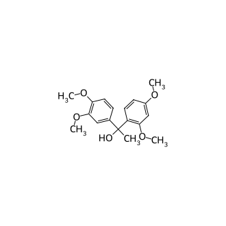 COc1ccc(C(C)(O)c2ccc(OC)c(OC)c2)c(OC)c1